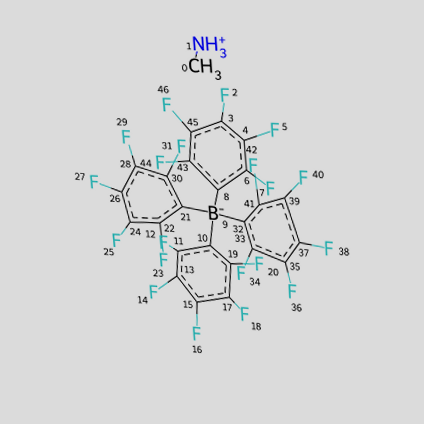 C[NH3+].Fc1c(F)c(F)c([B-](c2c(F)c(F)c(F)c(F)c2F)(c2c(F)c(F)c(F)c(F)c2F)c2c(F)c(F)c(F)c(F)c2F)c(F)c1F